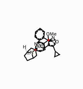 COC(=O)c1ccc(N2C3CC[C@H]2CC(OCc2c(-c4ccccc4C)noc2C2CC2)C3)nc1